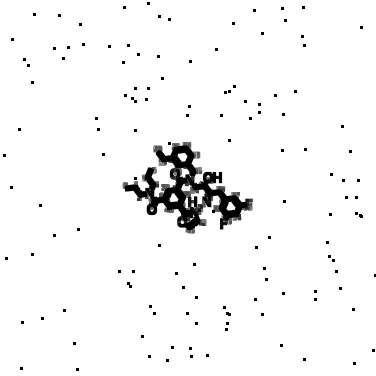 CCCN(CCC)C(=O)c1cc(C(=O)N(CC2C=C(CC)C=CC2)C[C@@H](O)[C@@H](N)Cc2cc(F)cc(F)c2)cc(-c2ncco2)c1